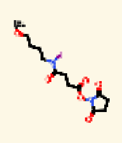 CC(C)(C)OCCCCN(I)C(=O)CCC(=O)ON1C(=O)CCC1=O